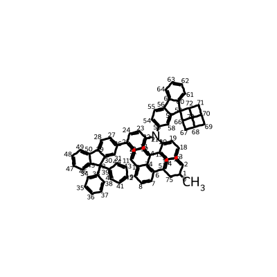 CC1C=CC=C(c2cccc3cccc(-c4ccccc4N(c4ccc(-c5ccc6c(c5)C(c5ccccc5)(c5ccccc5)c5ccccc5-6)cc4)c4ccc5c(c4)C4(c6ccccc6-5)C5CC6CC7CC4C675)c23)C1